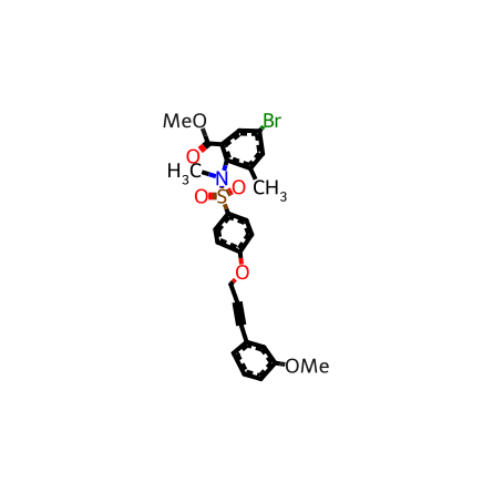 COC(=O)c1cc(Br)cc(C)c1N(C)S(=O)(=O)c1ccc(OCC#Cc2cccc(OC)c2)cc1